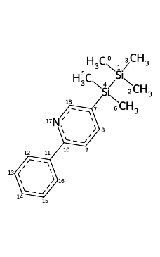 C[Si](C)(C)[Si](C)(C)c1ccc(-c2ccccc2)nc1